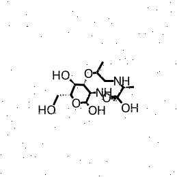 CC(CN[C@@H](C)C(=O)O)O[C@@H]1[C@@H](N)[C@@H](O)O[C@H](CO)[C@H]1O